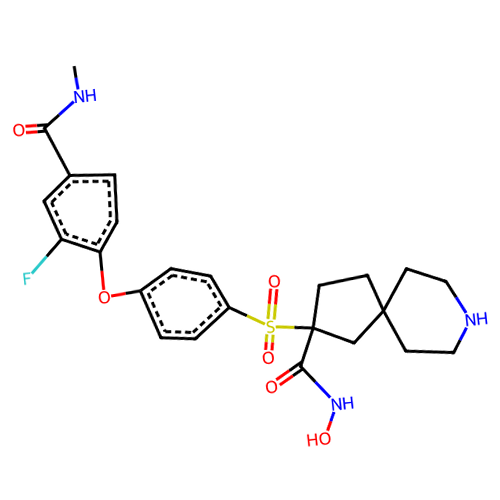 CNC(=O)c1ccc(Oc2ccc(S(=O)(=O)C3(C(=O)NO)CCC4(CCNCC4)C3)cc2)c(F)c1